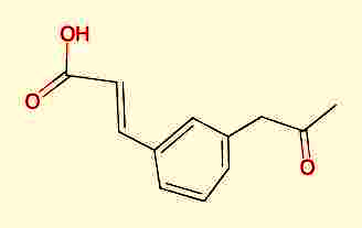 CC(=O)Cc1cccc(C=CC(=O)O)c1